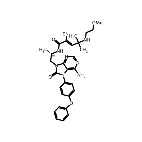 COCCNC(C)(C)C=C(C#N)C(=O)N[C@@H](C)Cn1c(=O)n(-c2ccc(Oc3ccccc3)cc2)c2c(N)ncnc21